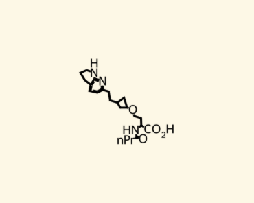 CCCC(=O)NC(CCOC1CC(CCc2ccc3c(n2)NCCC3)C1)C(=O)O